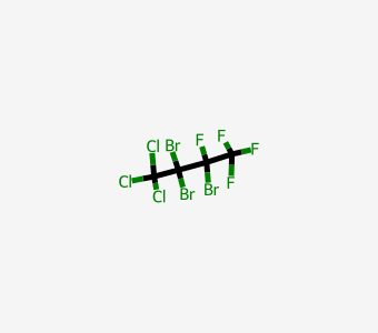 FC(F)(F)C(F)(Br)C(Br)(Br)C(Cl)(Cl)Cl